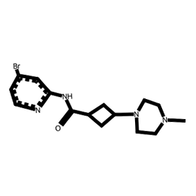 CN1CCN(C2CC(C(=O)Nc3cc(Br)ccn3)C2)CC1